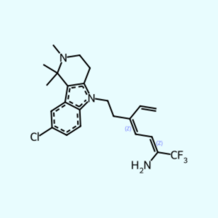 C=C/C(=C\C=C(/N)C(F)(F)F)CCn1c2c(c3cc(Cl)ccc31)C(C)(C)N(C)CC2